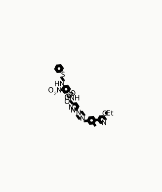 CCOc1cncc(-c2ccc(CN3CCN(c4ccc(C(=O)NS(=O)(=O)c5ccc(NCCSc6ccccc6)c([N+](=O)[O-])c5)nn4)CC3)cc2C)c1